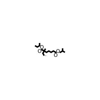 [CH2]CC(C)(CCCCC(=O)OCC(C)C)C(=O)OC(C)CC